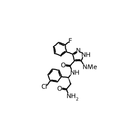 CNc1[nH]nc(-c2ccccc2F)c1C(=O)N[C@@H](CC(N)=O)c1cccc(Cl)c1